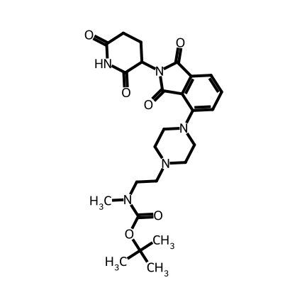 CN(CCN1CCN(c2cccc3c2C(=O)N(C2CCC(=O)NC2=O)C3=O)CC1)C(=O)OC(C)(C)C